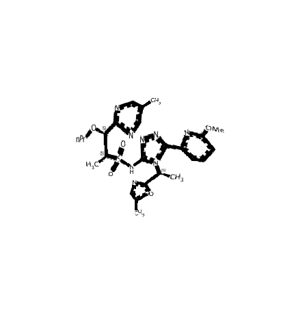 CCCO[C@@H](c1ncc(C)cn1)[C@H](C)S(=O)(=O)Nc1nnc(-c2cccc(OC)n2)n1[C@@H](C)c1ncc(C)o1